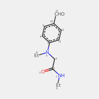 CCNC(=O)CN(CC)c1ccc(C=O)cc1